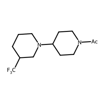 CC(=O)N1CCC(N2CCCC(C(F)(F)F)C2)CC1